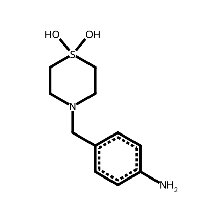 Nc1ccc(CN2CCS(O)(O)CC2)cc1